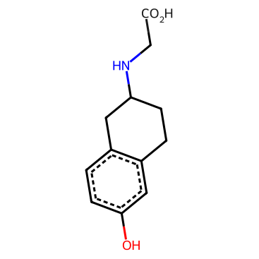 O=C(O)CNC1CCc2cc(O)ccc2C1